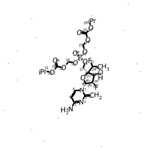 C=C1N=C(N)C=CN1[C@@H]1O[C@@](COP(=O)(OCOC(=O)OC(C)C)OCOC(=O)OC(C)C)(C(C)F)[C@@H](O)[C@H]1F